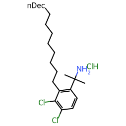 CCCCCCCCCCCCCCCCCCc1c(C(C)(C)N)ccc(Cl)c1Cl.Cl